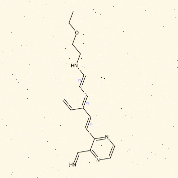 C=CC(/C=C/c1nccnc1C=N)=C\C=C\NCCOCC